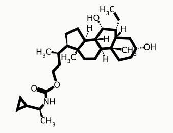 CC[C@H]1[C@@H](O)[C@@H]2[C@H](CC[C@]3(C)[C@@H]([C@H](C)CCOC(=O)N[C@@H](C)C4CC4)CC[C@@H]23)[C@@]2(C)CC[C@@H](O)C[C@@H]12